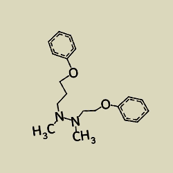 CN(CCCOc1ccccc1)N(C)CCOc1ccccc1